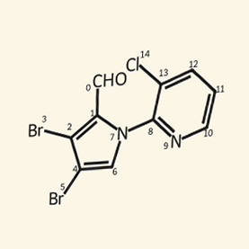 O=Cc1c(Br)c(Br)cn1-c1ncccc1Cl